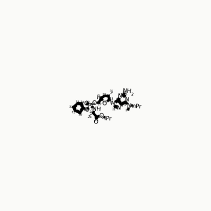 CCCN(C)c1nc(N)nc2c1ncn2[C@@H]1O[C@](F)(COP(=O)(N[C@@H](C)C(=O)OC(C)C)Oc2ccccc2)C[C@@H]1C